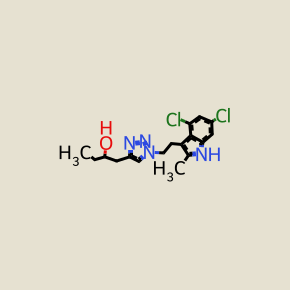 CCC(O)Cc1cn(CCc2c(C)[nH]c3cc(Cl)cc(Cl)c23)nn1